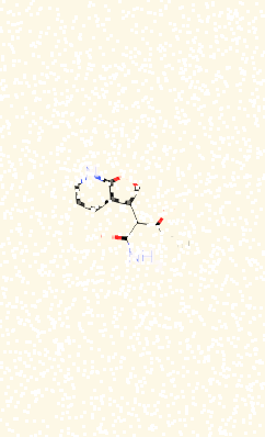 CC(C)(C)C(=O)C(C(N)=O)c1coc2ncccc12